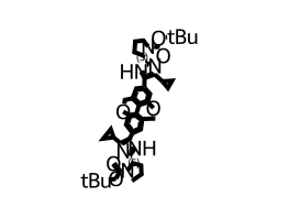 CC(C)(C)OC(=O)N1CCC[C@H]1c1nc(C2CC2)c(-c2cc3c4c(c2)OCc2cc(-c5[nH]c([C@@H]6CCCN6C(=O)OC(C)(C)C)nc5C5CC5)cc(c2-4)OC3)[nH]1